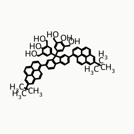 CC(C)(C)c1cc2ccc3ccc(-c4ccc5c(c4)C(c4cc(CO)c(O)c(CO)c4)(c4cc(CO)c(O)c(CO)c4)c4cc(-c6ccc7ccc8cc(C(C)(C)C)cc9ccc6c7c89)ccc4-5)c4ccc(c1)c2c34